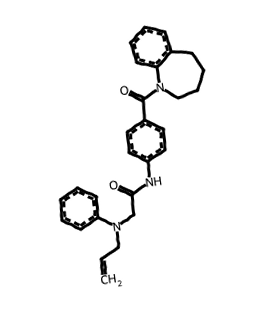 C=CCN(CC(=O)Nc1ccc(C(=O)N2CCCCc3ccccc32)cc1)c1ccccc1